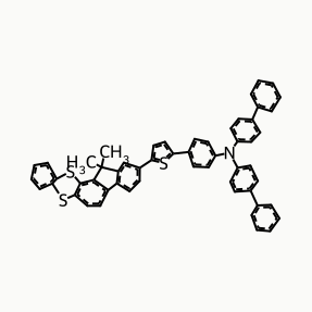 CC1(C)c2cc(-c3ccc(-c4ccc(N(c5ccc(-c6ccccc6)cc5)c5ccc(-c6ccccc6)cc5)cc4)s3)ccc2-c2ccc3c(c21)Sc1ccccc1S3